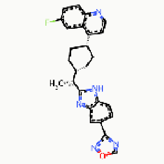 C[C@@H](c1nc2cc(-c3ncon3)ccc2[nH]1)[C@H]1CC[C@@H](c2ccnc3ccc(F)cc32)CC1